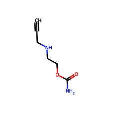 C#CCNCCOC(N)=O